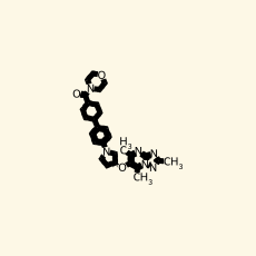 Cc1nc2nc(C)c(O[C@@H]3CCN(c4ccc(C5CCC(C(=O)N6CCOCC6)CC5)cc4)C3)c(C)n2n1